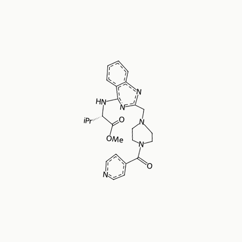 COC(=O)[C@@H](Nc1nc(CN2CCN(C(=O)c3ccncc3)CC2)nc2ccccc12)C(C)C